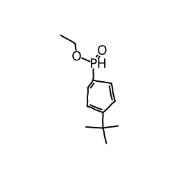 CCO[PH](=O)c1ccc(C(C)(C)C)cc1